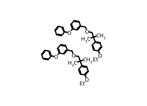 CCOc1ccc(C(C)(C)COCc2cccc(Oc3ccccc3)c2)cc1.CCOc1ccc(C(C)(C)COCc2cccc(Oc3ccccc3)c2)cc1